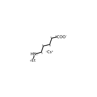 CCNCCCCC(=O)[O-].[Cs+]